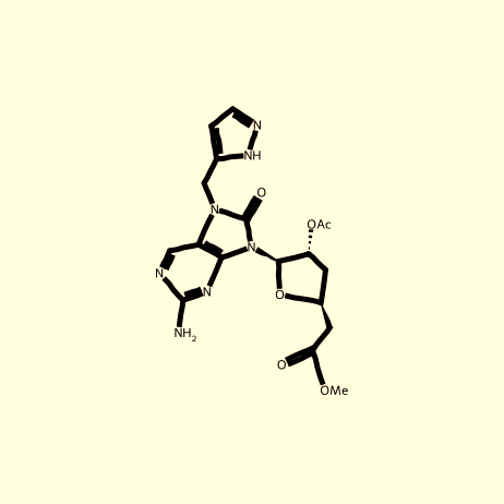 COC(=O)C[C@@H]1C[C@@H](OC(C)=O)[C@H](n2c(=O)n(Cc3ccn[nH]3)c3cnc(N)nc32)O1